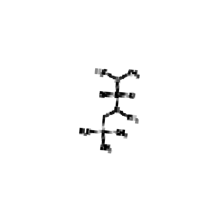 CN(C)S(=O)(=O)N(C)CC(C)(C)C